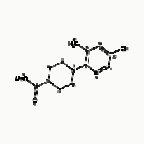 COC(=O)C1CCN(c2ncc(Cl)cc2C)CC1